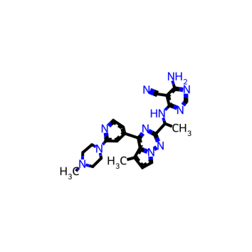 Cc1ccn2nc(C(C)Nc3ncnc(N)c3C#N)nc(-c3ccnc(N4CCN(C)CC4)c3)c12